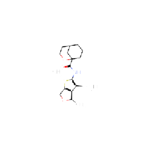 CCOC(=O)c1c(NC(=O)C23CCCC(CCO2)C3)sc2c1C(C)OC2.[CH2]